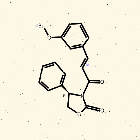 CCCCOc1cccc(/C=C/C(=O)N2C(=O)OC[C@H]2c2ccccc2)c1